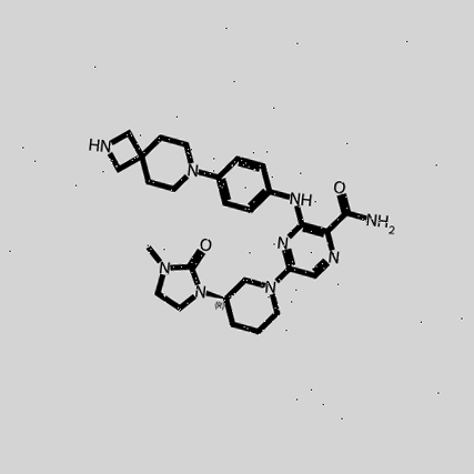 CN1CCN([C@@H]2CCCN(c3cnc(C(N)=O)c(Nc4ccc(N5CCC6(CC5)CNC6)cc4)n3)C2)C1=O